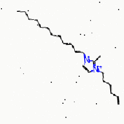 CCCCCCCCCCCCn1cc[n+](CCCCCC)c1C